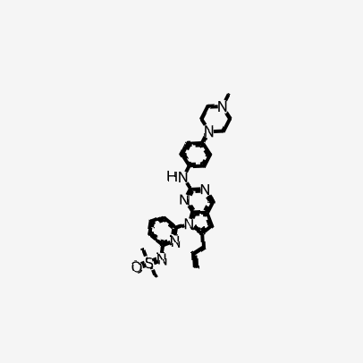 C=CCc1cc2cnc(Nc3ccc(N4CCN(C)CC4)cc3)nc2n1-c1cccc(N=S(C)(C)=O)n1